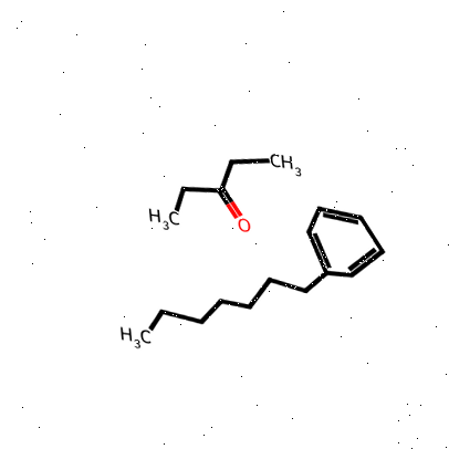 CCC(=O)CC.CCCCCCCc1ccccc1